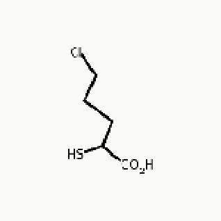 O=C(O)C(S)CCCCl